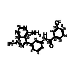 CC(C)n1nc(-c2cccc(NC(=O)c3cccc(C(F)(F)F)c3)c2)c2c(N)ncnc21